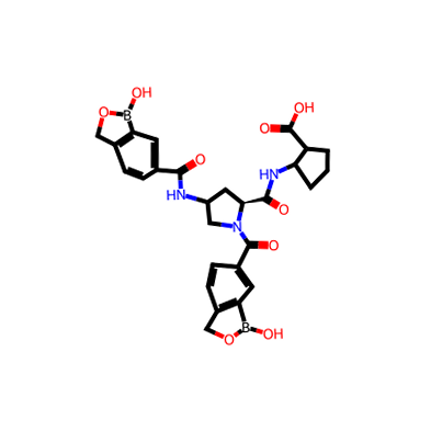 O=C(NC1C[C@@H](C(=O)NC2CCCC2C(=O)O)N(C(=O)c2ccc3c(c2)B(O)OC3)C1)c1ccc2c(c1)B(O)OC2